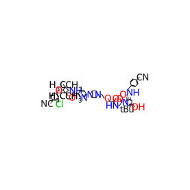 CC(C)(C)C(NC(=O)COCCN1CCN(c2ccc(C(=O)N[C@H]3C(C)(C)[C@H](Oc4ccc(C#N)c(Cl)c4)C3(C)C)cn2)CC1)C(=O)N1C[C@H](O)C[C@H]1C(=O)NCc1ccc(C#N)cc1